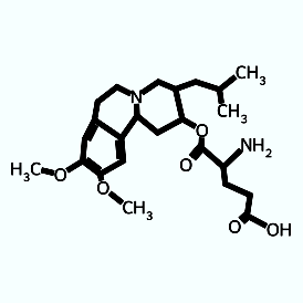 COc1cc2c(cc1OC)C1CC(OC(=O)C(N)CCC(=O)O)C(CC(C)C)CN1CC2